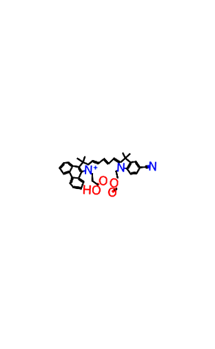 CC1(C)C(/C=C/C=C/C=C2\N(CCOC=O)c3ccc(C#N)cc3C2(C)C)=[N+](CCC(=O)O)c2c1c1ccccc1c1ccccc21